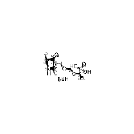 CCC(OCOCn1c(=O)[nH]cc(C)c1=O)P(=O)(O)O.[NaH]